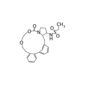 CCS(=O)(=O)NC1CCN2C(=O)OCCOCCc3ccccc3-c3cccc(c3)CC12